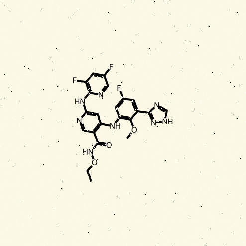 CCONC(=O)c1cnc(Nc2ncc(F)cc2F)cc1Nc1cc(F)cc(-c2nc[nH]n2)c1OC